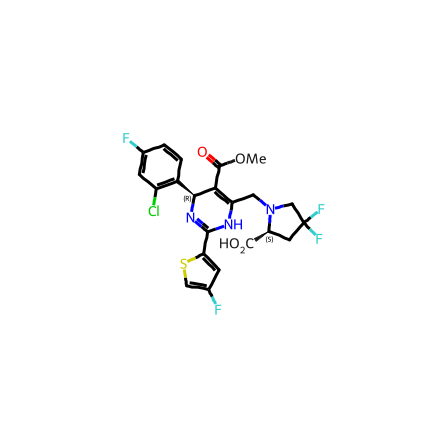 COC(=O)C1=C(CN2CC(F)(F)C[C@H]2C(=O)O)NC(c2cc(F)cs2)=N[C@H]1c1ccc(F)cc1Cl